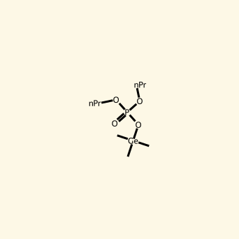 CCCOP(=O)(OCCC)[O][Ge]([CH3])([CH3])[CH3]